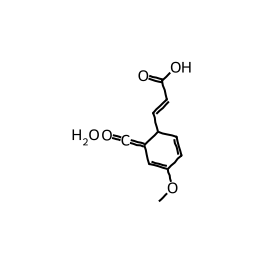 COC1=CC(=C=O)C(C=CC(=O)O)C=C1.O